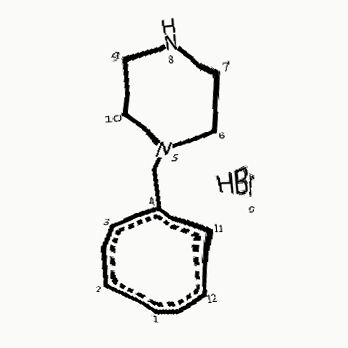 Br.c1ccc(N2CCNCC2)cc1